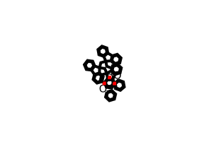 O=C(CCC1(CC2(CC3(CCC(=O)Oc4ccccc4)c4ccccc4-c4ccccc43)c3ccccc3-c3ccccc32)c2ccccc2-c2ccccc21)Oc1ccccc1